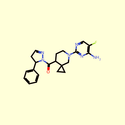 Nc1nc(N2CCC(C(=O)N3N=CCC3c3ccccc3)C3(CC3)C2)ncc1F